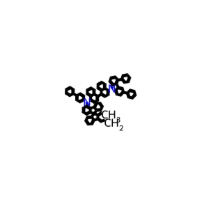 C=C/C=C1\C(=C/C)C2(c3ccccc31)c1ccccc1-c1c(N(c3ccc(-c4ccccc4)cc3)c3ccc(-c4ccc(-n5c6ccc(-c7ccccc7)cc6c6c(-c7ccccc7)cccc65)c5ccccc45)c4ccccc34)cccc12